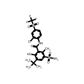 Cc1c(S(N)(=O)=O)cc(C(C)(C)C)c(O)c1C(=O)Nc1ccc(S(=O)(=O)C(F)(F)F)cc1Cl